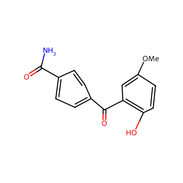 COc1ccc(O)c(C(=O)c2ccc(C(N)=O)cc2)c1